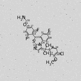 COc1cc(C(C)(C)c2cnc(SCc3c(F)cc(OCN)cc3F)n2-c2ccc(F)cc2)ccc1Cl